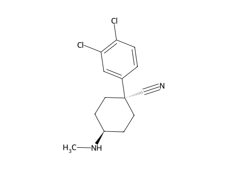 CN[C@H]1CC[C@@](C#N)(c2ccc(Cl)c(Cl)c2)CC1